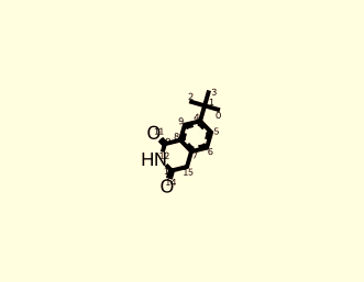 CC(C)(C)c1ccc2c(c1)C(=O)NC(=O)C2